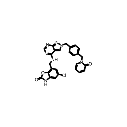 O=c1[nH]c2cc(Cl)cc(CNc3ncnc4nn(Cc5ccc(Cn6ccccc6=O)cc5)cc34)c2o1